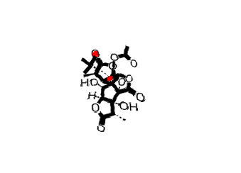 CC(=O)O[C@H]1C2OC(=O)[C@]34OC5OC(=O)[C@H](C)C5([C@@H]1C(C)(C)C)C23[C@@H](O)[C@@H]1OC(=O)[C@@H](C)[C@@]14O